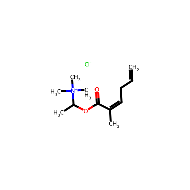 C=CCC=C(C)C(=O)OC(C)[N+](C)(C)C.[Cl-]